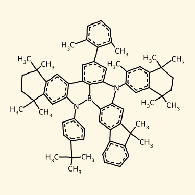 Cc1cc2c(cc1N1c3cc4c(cc3B3c5c(cc(-c6c(C)cccc6C)cc51)-c1cc5c(cc1N3c1ccc(C(C)(C)C)cc1)C(C)(C)CCC5(C)C)-c1ccccc1C4(C)C)C(C)(C)CCC2(C)C